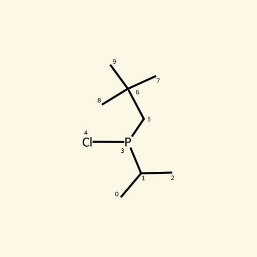 CC(C)P(Cl)CC(C)(C)C